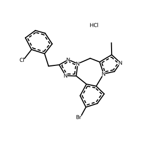 Cc1ncn2c1Cn1nc(Cc3ccccc3Cl)nc1-c1cc(Br)ccc1-2.Cl